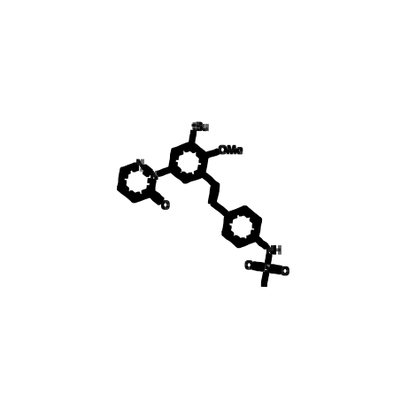 COc1c(C=Cc2ccc(NS(C)(=O)=O)cc2)cc(-n2ncccc2=O)cc1C(C)(C)C